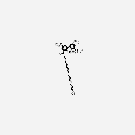 O=C(O)c1cc(C(=O)O)c(C(=O)O)c(-c2cc(C(=O)O)cc(C(=O)OCCCCCCCCCCCCCCCCO)c2C(=O)O)c1